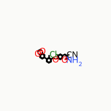 Cc1c(COc2ccc(C=C(C#N)C(N)=O)cc2Cl)cccc1-c1ccc2c(c1)OCCO2